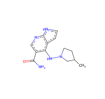 CC1CCN(Nc2c(C(N)=O)cnc3[nH]ccc23)C1